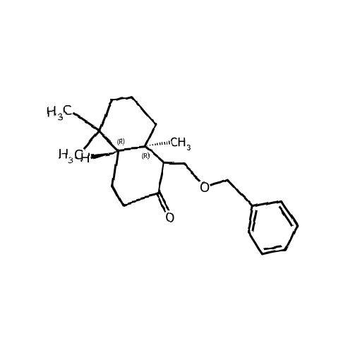 CC1(C)CCC[C@@]2(C)C(COCc3ccccc3)C(=O)CC[C@H]12